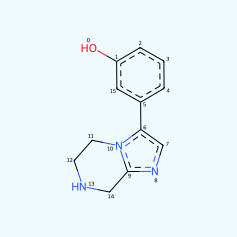 Oc1cccc(-c2cnc3n2CCNC3)c1